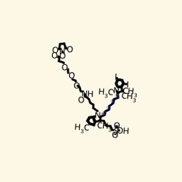 Cc1ccc2c(c1)C(C)(CCCCS(=O)(=O)O)C(/C=C/C=C/C=C/C=C1\N(C)c3cc(I)cc(I)c3C1(C)C)=[N+]2CCCCCC(=O)NCCOCCOCCOCCC(=O)ON1C(=O)CCC1=O